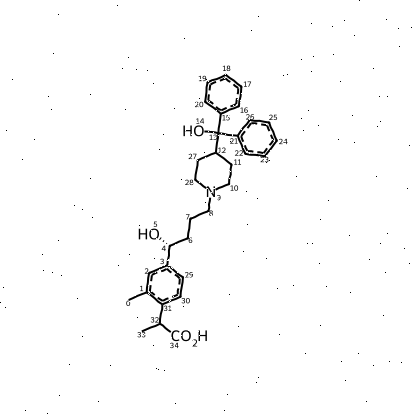 Cc1cc([C@H](O)CCCN2CCC(C(O)(c3ccccc3)c3ccccc3)CC2)ccc1C(C)C(=O)O